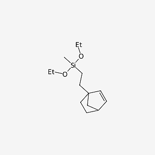 CCO[Si](C)(CCC12C=CC(CC1)C2)OCC